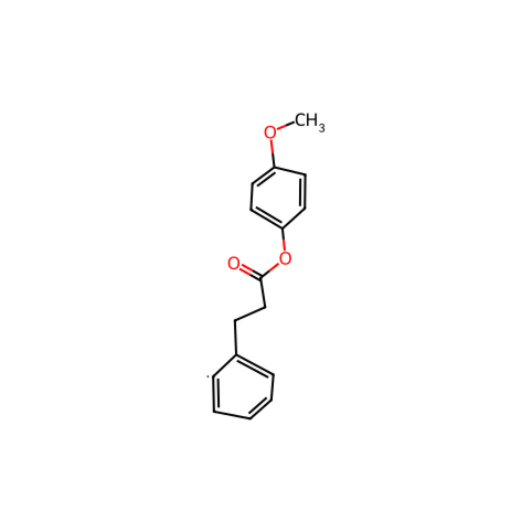 COc1ccc(OC(=O)CCc2[c]cccc2)cc1